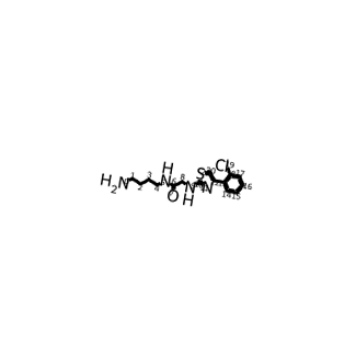 NCCCCNC(=O)CNc1nc(-c2ccccc2Cl)cs1